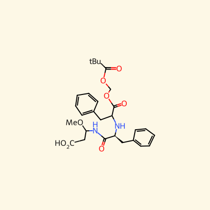 COC(CC(=O)O)NC(=O)[C@H](Cc1ccccc1)NC(Cc1ccccc1)C(=O)OCOC(=O)C(C)(C)C